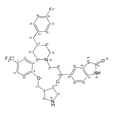 FC(F)(F)c1ccc(OCC2CCNC2)cc1.O=C(CCN1CCC(Cc2ccc(F)cc2)CC1)c1ccc2[nH]c(=O)sc2c1